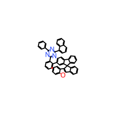 c1ccc(-c2nc(-c3ccccc3-c3ccc4c(c3)C3(c5ccccc5-4)c4ccccc4-c4oc5ccccc5c43)nc(-c3cccc4ccccc34)n2)cc1